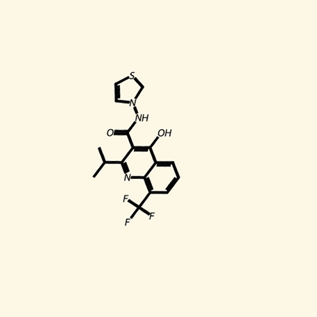 CC(C)c1nc2c(C(F)(F)F)cccc2c(O)c1C(=O)NN1C=CSC1